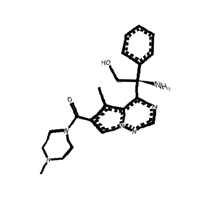 Cc1c(C(=O)N2CCN(C)CC2)cn2ncnc([C@](N)(CO)c3ccccc3)c12